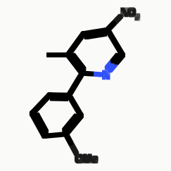 COc1cccc(-c2ncc([N+](=O)[O-])cc2C)c1